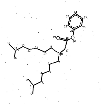 CC(C)CCCCCN(CCCCCC(C)C)CC(=O)Oc1ccccc1